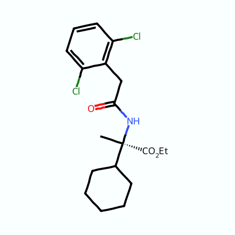 CCOC(=O)[C@](C)(NC(=O)Cc1c(Cl)cccc1Cl)C1CCCCC1